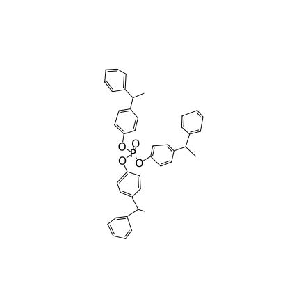 CC(c1ccccc1)c1ccc(OP(=O)(Oc2ccc(C(C)c3ccccc3)cc2)Oc2ccc(C(C)c3ccccc3)cc2)cc1